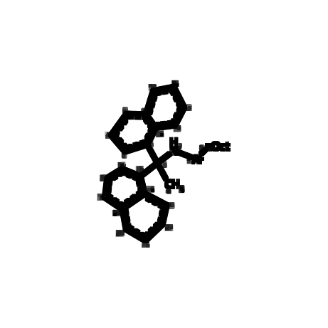 CCCCCCC[CH2][Al][NH]C(C)(c1cccc2ccccc12)c1cccc2ccccc12